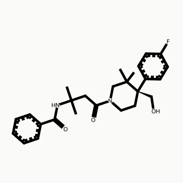 CC(C)(CC(=O)N1CC[C@@](CO)(c2ccc(F)cc2)C(C)(C)C1)NC(=O)c1ccccc1